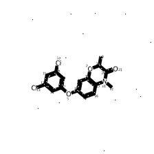 CC1Oc2cc(Oc3cc(Cl)cc(Cl)c3)ccc2N(C)C1=O